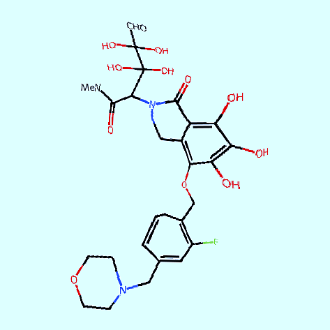 CNC(=O)C(N1Cc2c(OCc3ccc(CN4CCOCC4)cc3F)c(O)c(O)c(O)c2C1=O)C(O)(O)C(O)(O)C=O